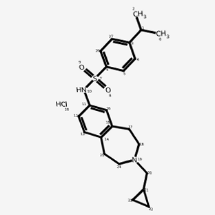 CC(C)c1ccc(S(=O)(=O)Nc2ccc3c(c2)CCN(CC2CC2)CC3)cc1.Cl